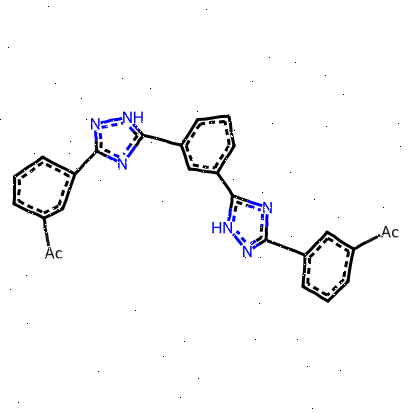 CC(=O)c1cccc(-c2n[nH]c(-c3cccc(-c4nc(-c5cccc(C(C)=O)c5)n[nH]4)c3)n2)c1